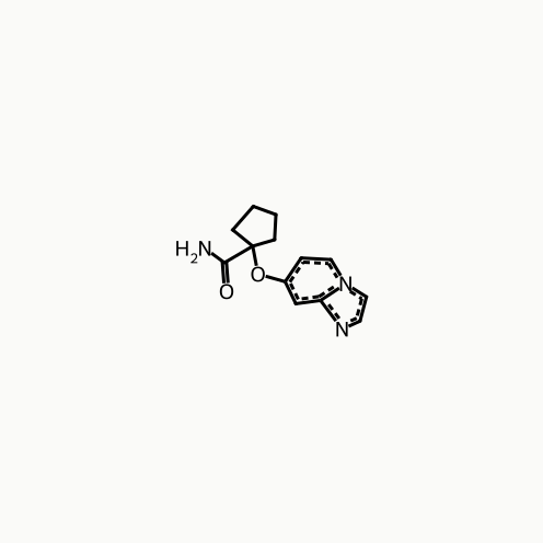 NC(=O)C1(Oc2ccn3ccnc3c2)CCCC1